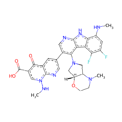 CNc1cc(F)c(F)c2c1[nH]c1ncc(-c3cnc4c(c3)c(=O)c(C(=O)O)cn4NC)c(N3CC4[C@@H](C3)OCCN4C)c12